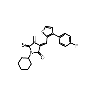 O=C1C(=Cc2sccc2-c2ccc(F)cc2)NC(=S)N1C1CCCCC1